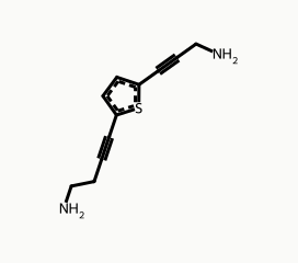 NCC#Cc1ccc(C#CCCN)s1